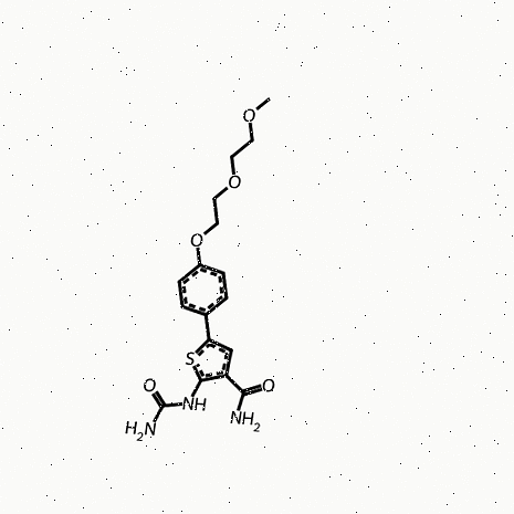 COCCOCCOc1ccc(-c2cc(C(N)=O)c(NC(N)=O)s2)cc1